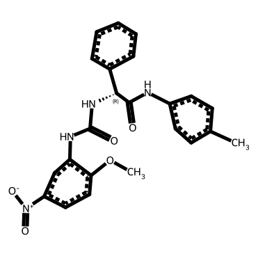 COc1ccc([N+](=O)[O-])cc1NC(=O)N[C@@H](C(=O)Nc1ccc(C)cc1)c1ccccc1